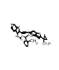 Cc1ccccc1C(C)OC(=O)Nc1c(C#Cc2cc3sc(C4(C(=O)O)CC4)cc3s2)oc2cnccc12